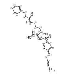 CC#CCOc1ccc(S(=O)(=O)N[C@H](CCCNC(=O)CCc2ccccc2)C(=O)NO)cc1